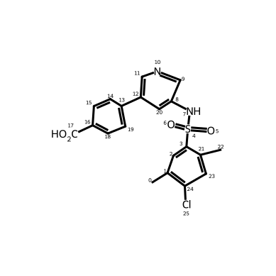 Cc1cc(S(=O)(=O)Nc2cncc(-c3ccc(C(=O)O)cc3)c2)c(C)cc1Cl